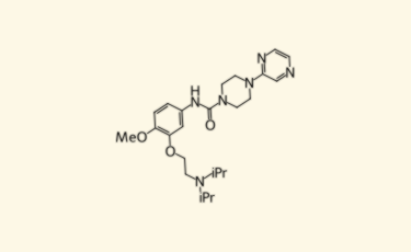 COc1ccc(NC(=O)N2CCN(c3cnccn3)CC2)cc1OCCN(C(C)C)C(C)C